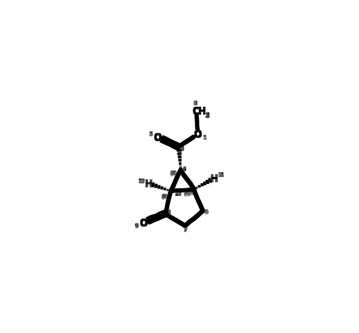 COC(=O)[C@@H]1[C@H]2CCC(=O)[C@H]21